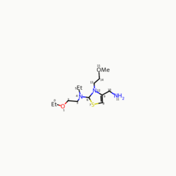 CCOCCN(CC)C1SC=C(CN)N1CCOC